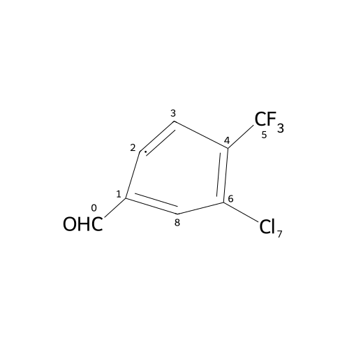 O=Cc1[c]cc(C(F)(F)F)c(Cl)c1